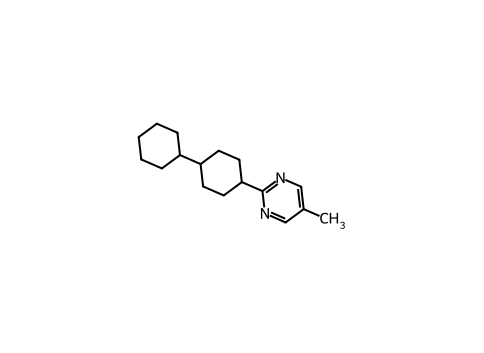 Cc1cnc(C2CCC(C3CCCCC3)CC2)nc1